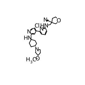 CO[C@H]1CCN([C@H]2CC[C@H](Nc3cc(-c4cccc(NCC5(C#N)CCOCC5)n4)c(Cl)cn3)CC2)C1